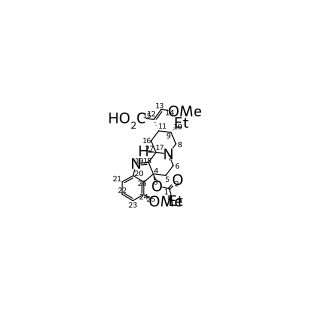 CCC(=O)O[C@]12CCN3C[C@@H](CC)[C@@H](/C(=C\OC)C(=O)O)C[C@H]3C1=Nc1cccc(OC)c12